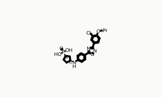 CC(C)Oc1ccc(-c2noc(-c3ccc(N[C@H]4CC[C@@H](P(=O)(O)O)C4)cc3)n2)cc1Cl